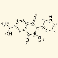 CC(C)c1ccc2c(c1)C(=O)N(C)C(C1=CC=CNC1)C2=O